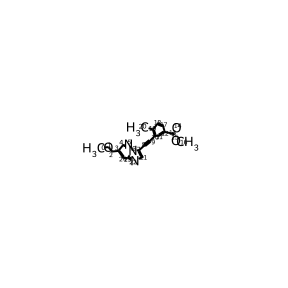 COCc1cnn2c(C#Cc3cc(C(=O)OC)ccc3C)cnc2c1